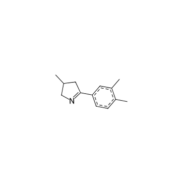 Cc1ccc(C2=NCC(C)C2)cc1C